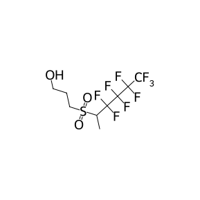 CC(C(F)(F)C(F)(F)C(F)(F)C(F)(F)F)S(=O)(=O)CCCO